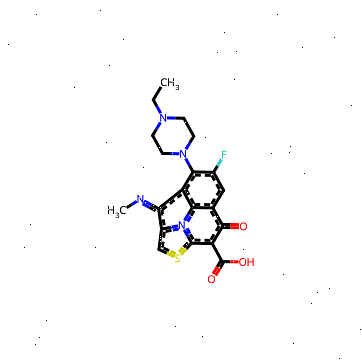 CCN1CCN(c2c(F)cc3c(=O)c(C(=O)O)c4scc5c(=NC)c2c3n45)CC1